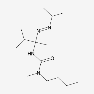 CCCCN(C)C(=O)NC(C)(N=NC(C)C)C(C)C